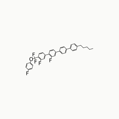 CCCCCc1ccc(-c2ccc(-c3ccc(-c4ccc(C(F)(F)Oc5ccc(F)cc5)c(F)c4)c(F)c3)cc2)cc1